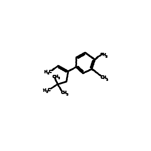 C/C=C(\CC(C)(C)C)c1ccc(P)c(C)c1